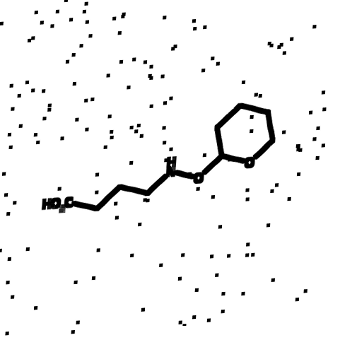 O=C(O)CCCNOC1CCCCO1